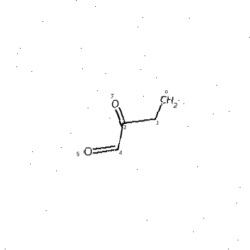 [CH2]CC(=O)C=O